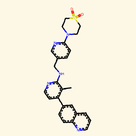 Cc1c(-c2ccc3ncccc3c2)ccnc1NCc1ccc(N2CCS(=O)(=O)CC2)nc1